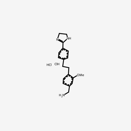 COc1cc(CN)ccc1CCc1ccc(C2=NCCN2)cc1.Cl.Cl